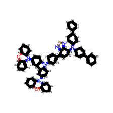 c1ccc(-c2ccc(N(c3ccc(-c4ccccc4)cc3)c3ccc(-c4ccc(-n5c6ccc(N7c8ccccc8Oc8ccccc87)cc6c6cc(N7c8ccccc8Oc8ccccc87)ccc65)cc4)c4nsnc34)cc2)cc1